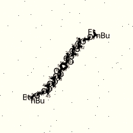 CCCCC(CC)COCCOC(C)OC(C)OC(C)OC(C)OC(C)OC(=O)c1ccc(C(=O)OC(C)OC(C)OC(C)OC(C)OC(C)OCCOCC(CC)CCCC)cc1